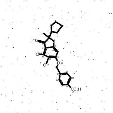 CC1(C2CCCC2)Cc2cc(OCc3ccc(C(=O)O)cc3)c(Cl)c(Cl)c2C1=O